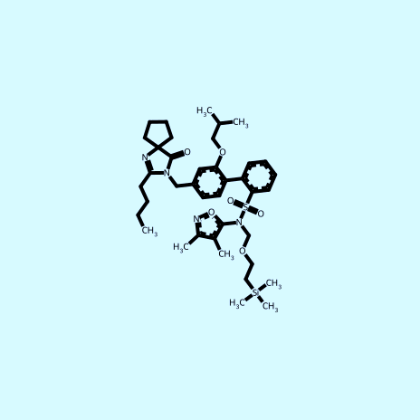 CCCCC1=NC2(CCCC2)C(=O)N1Cc1ccc(-c2ccccc2S(=O)(=O)N(COCC[Si](C)(C)C)c2onc(C)c2C)c(OCC(C)C)c1